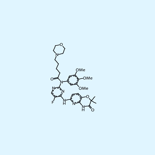 COc1cc(N(C(=O)CCCCN2CCOCC2)c2ncc(F)c(Nc3ccc4c(n3)NC(=O)C(C)(C)O4)n2)cc(OC)c1OC